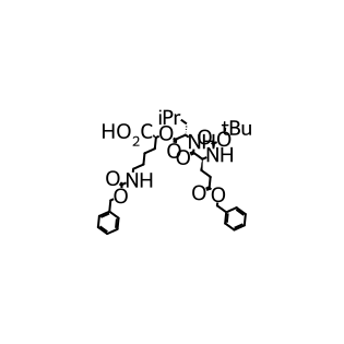 CC(C)C[C@H](NC(=O)[C@H](CCC(=O)OCc1ccccc1)NC(=O)OC(C)(C)C)C(=O)O[C@@H](CCCCNC(=O)OCc1ccccc1)C(=O)O